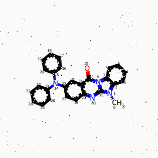 Cn1c2ccccc2n2c(=O)c3cc(N(c4ccccc4)c4ccccc4)ccc3nc12